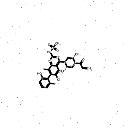 C=CC(=O)N1C[C@H](C)N(c2nc(NS(C)(=O)=O)nc3c(F)c(-c4c(O)cccc4F)c(Cl)cc23)C[C@H]1C